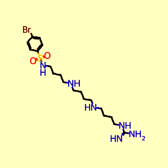 N=C(N)NCCCCNCCCCNCCCCNS(=O)(=O)c1ccc(Br)cc1